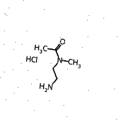 CC(=O)N(C)CCN.Cl